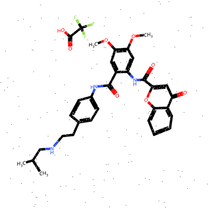 COc1cc(NC(=O)c2cc(=O)c3ccccc3o2)c(C(=O)Nc2ccc(CCNCC(C)C)cc2)cc1OC.O=C(O)C(F)(F)F